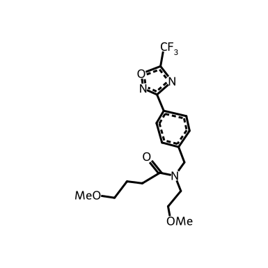 COCCCC(=O)N(CCOC)Cc1ccc(-c2noc(C(F)(F)F)n2)cc1